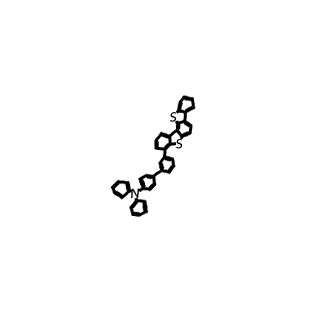 c1ccc(N(c2ccccc2)c2ccc(-c3cccc(-c4cccc5c4sc4ccc6c7ccccc7sc6c45)c3)cc2)cc1